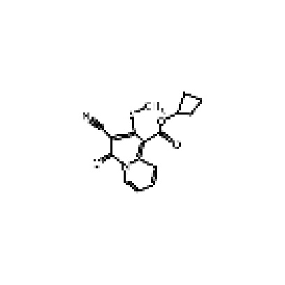 CSc1c(C#N)c(=O)n2ccccc2c1C(=O)OC1CCC1